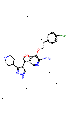 Nc1ncc2c(-c3c[nH]nc3C3CCNCC3)coc2c1OCCc1ccc(Br)cc1